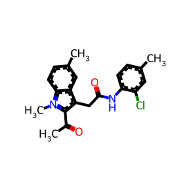 CC(=O)c1c(CC(=O)Nc2ccc(C)cc2Cl)c2cc(C)ccc2n1C